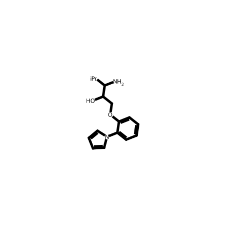 CC(C)C(N)C(O)COc1ccccc1-n1cccc1